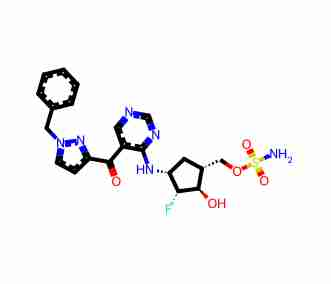 NS(=O)(=O)OC[C@H]1C[C@@H](Nc2ncncc2C(=O)c2ccn(Cc3ccccc3)n2)[C@@H](F)[C@@H]1O